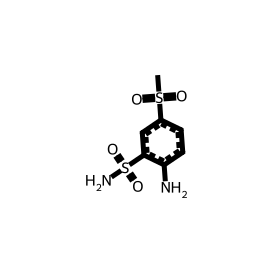 CS(=O)(=O)c1ccc(N)c(S(N)(=O)=O)c1